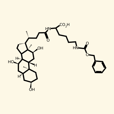 C[C@H](CCC(=O)NC(CCCCNC(=O)OCc1ccccc1)C(=O)O)[C@H]1CCC2[C@@H]3[C@H](O)C[C@@H]4C[C@H](O)CC[C@]4(C)[C@H]3C[C@H](O)[C@@]21C